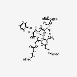 CCCCCCCCCCCCCC(=O)OCC(COC(=O)CCCCCCCCCCCCC)OC(=O)[C@H](CCc1ccccc1)N[C@@H](CCCCN)C(=O)N1CCC[C@H]1C(=O)OC(CCCC)CCCC